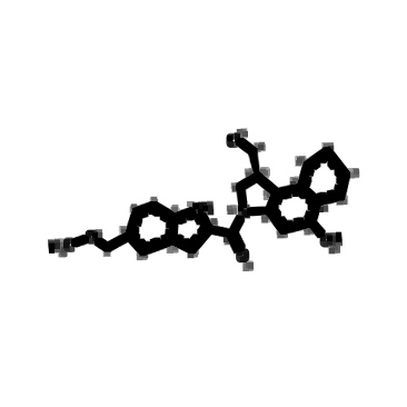 COCc1ccc2[nH]c(C(=O)N3C[C@@H](CCl)c4c3cc(O)c3ccccc43)cc2c1